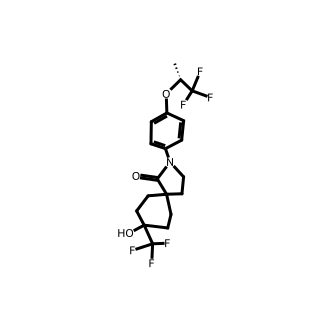 C[C@@H](Oc1ccc(N2CCC3(CCC(O)(C(F)(F)F)CC3)C2=O)cc1)C(F)(F)F